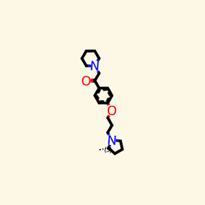 C[C@H]1CCCN1CCCOc1ccc(C(=O)CN2CCCCC2)cc1